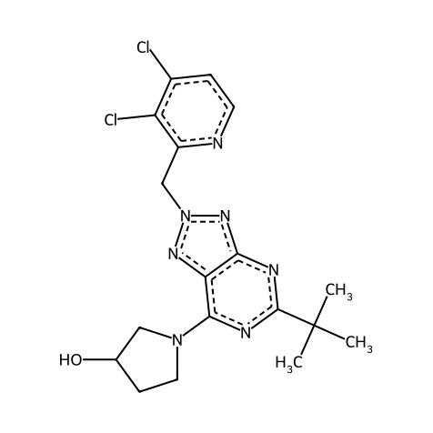 CC(C)(C)c1nc(N2CCC(O)C2)c2nn(Cc3nccc(Cl)c3Cl)nc2n1